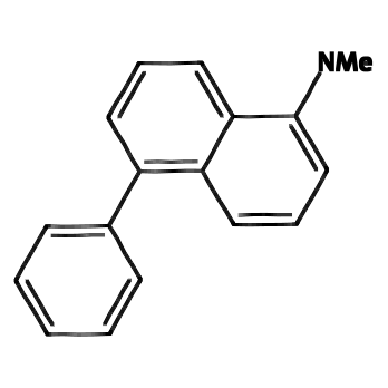 CNc1cccc2c(-c3ccccc3)cccc12